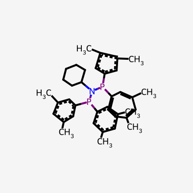 CC1=CC(P(c2cc(C)cc(C)c2)N(C2CCCCC2)P(c2cc(C)cc(C)c2)c2cc(C)cc(C)c2)=C=CC(C)=C1